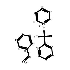 FC(F)(F)c1ccccn1.O=Cc1ccccc1.c1ccncc1